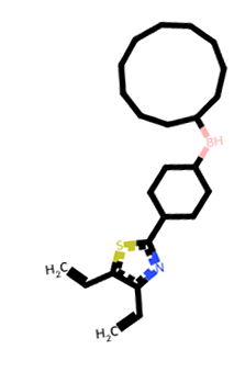 C=Cc1nc(C2CCC(BC3CCCCCCCCCC3)CC2)sc1C=C